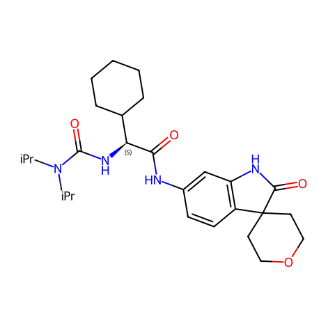 CC(C)N(C(=O)N[C@H](C(=O)Nc1ccc2c(c1)NC(=O)C21CCOCC1)C1CCCCC1)C(C)C